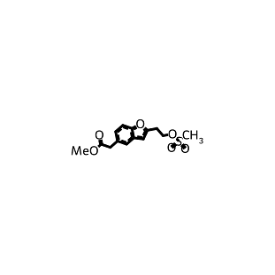 COC(=O)Cc1ccc2oc(CCOS(C)(=O)=O)cc2c1